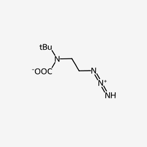 CC(C)(C)N(CCN=[N+]=N)C(=O)[O-]